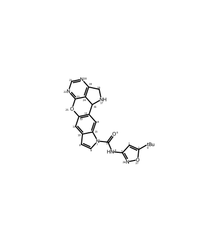 CC(C)(C)c1cc(NC(=O)n2ccc3cc4c(cc32)C2NCc3ncnc(c32)O4)no1